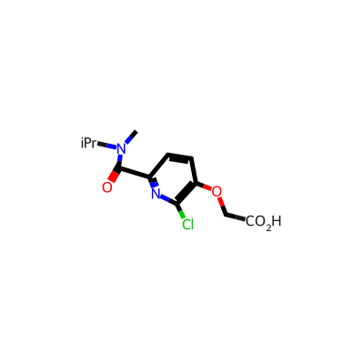 CC(C)N(C)C(=O)c1ccc(OCC(=O)O)c(Cl)n1